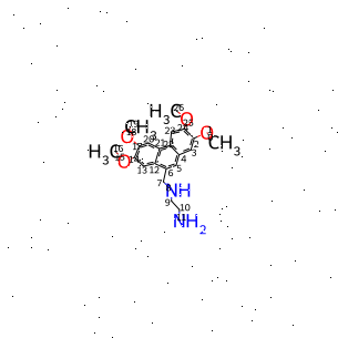 COc1cc2cc(CNCCN)c3cc(OC)c(OC)cc3c2cc1OC